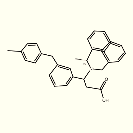 Cc1ccc(Cc2cccc(C(CC(=O)O)N(Cc3ccccc3)[C@H](C)c3ccccc3)c2)cc1